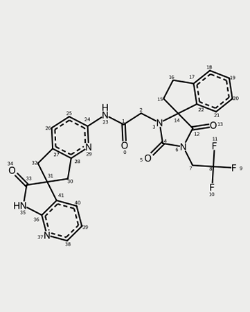 O=C(CN1C(=O)N(CC(F)(F)F)C(=O)C12CCc1ccccc12)Nc1ccc2c(n1)CC1(C2)C(=O)Nc2ncccc21